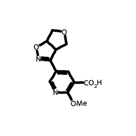 COc1ncc(C2=NOC3COCC23)cc1C(=O)O